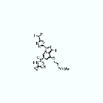 COCCCOc1cc(S(=O)(=O)NC2(C#N)CC2)cn2c(-c3nnc(C(F)F)s3)nc(I)c12